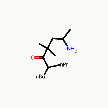 CCCCC(CCC)C(=O)C(C)(C)CC(C)N